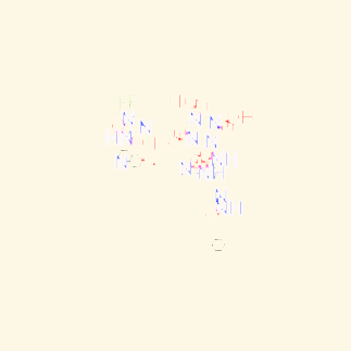 C/C(=N\CCCC[C@H](NC(=O)CN1CCN(CC(=O)O)CCN(CC(=O)O)CCN(CC(=O)O)CC1)C(=O)N[C@@H](C)C(=O)N1CCC(CCCOc2ccc3nccc(C(=O)NCC(=O)N4CC(F)(F)C[C@@H]4C#N)c3c2)CC1)NC(=O)CCCc1ccc(C)cc1